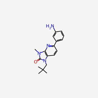 Cn1c(=O)n(CC(C)(C)C)c2ccc(-c3cccc(N)c3)nc21